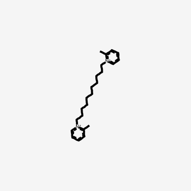 Cc1cccc[n+]1CCCCCCCCCCC[n+]1ccccc1C